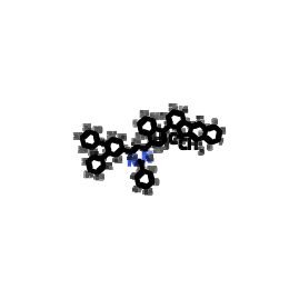 CC1(C)c2cc3ccccc3cc2-c2cccc(-c3ccc(-c4cc(-c5ccc(-c6ccccc6)c(-c6ccccc6)c5)nc(-c5ccccc5)n4)c4ccccc34)c21